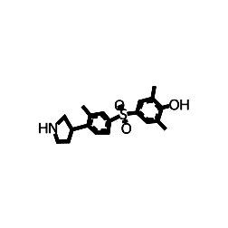 Cc1cc(S(=O)(=O)c2cc(C)c(O)c(C)c2)ccc1C1CCNC1